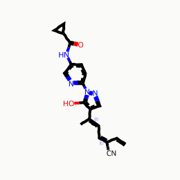 C=C/C(C#N)=C\C=C(/C)c1cnn(-c2ccc(NC(=O)C3CC3)cn2)c1O